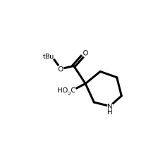 CC(C)(C)OC(=O)C1(C(=O)O)CCCNC1